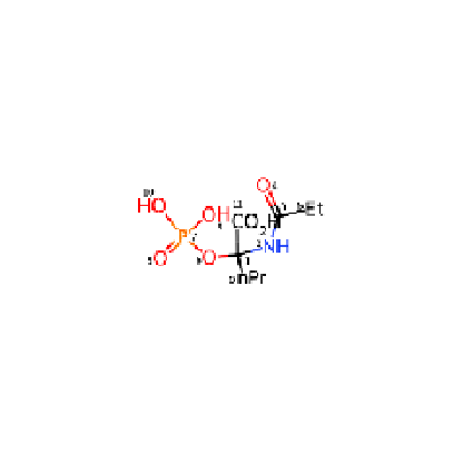 CCCC(NC(=O)CC)(OP(=O)(O)O)C(=O)O